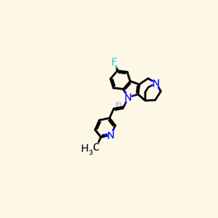 Cc1ccc(/C=C/n2c3c(c4cc(F)ccc42)CN2CCC3CC2)cn1